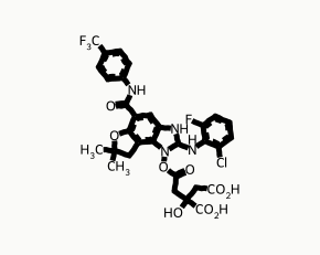 CC1(C)Cc2c(c(C(=O)Nc3ccc(C(F)(F)F)cc3)cc3c2N(OC(=O)CC(O)(CC(=O)O)C(=O)O)C(Nc2c(F)cccc2Cl)N3)O1